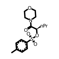 CCC[C@@H](OS(=O)(=O)c1ccc(C)cc1)C(=O)N1CCOCC1